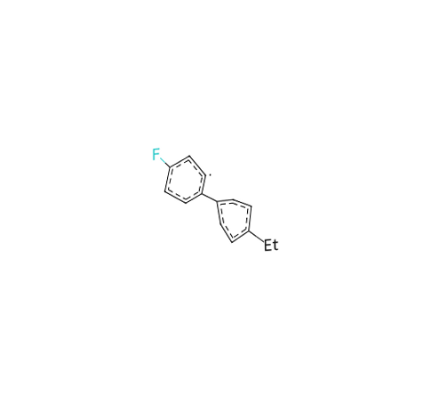 CCc1ccc(-c2[c]cc(F)cc2)cc1